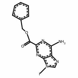 Nc1nc(C(=O)OCc2ccccc2)nc2c1ncn2I